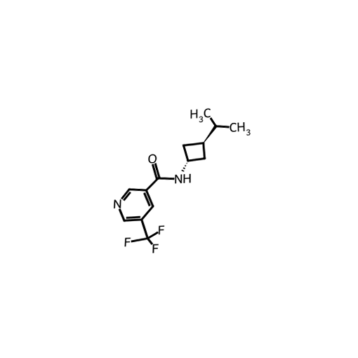 CC(C)[C@H]1C[C@H](NC(=O)c2cncc(C(F)(F)F)c2)C1